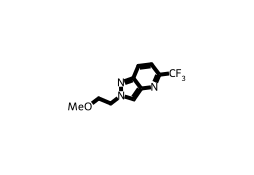 COCCn1cc2nc(C(F)(F)F)ccc2n1